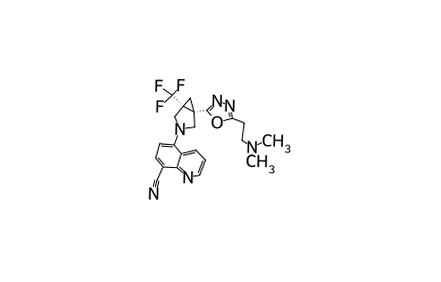 CN(C)CCc1nnc([C@]23CN(c4ccc(C#N)c5ncccc45)C[C@@]2(C(F)(F)F)C3)o1